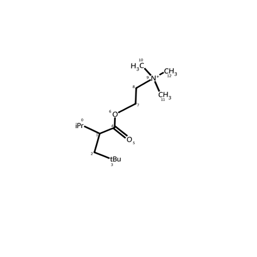 CC(C)C(CC(C)(C)C)C(=O)OCC[N+](C)(C)C